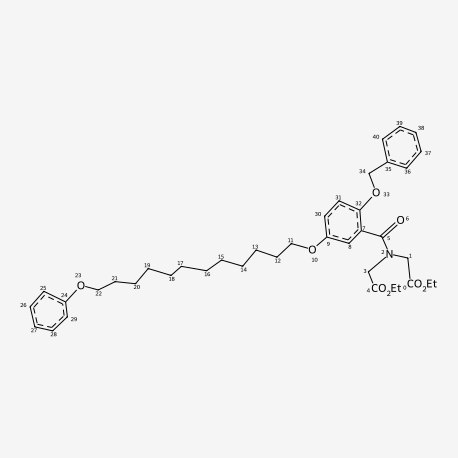 CCOC(=O)CN(CC(=O)OCC)C(=O)c1cc(OCCCCCCCCCCCCOc2ccccc2)ccc1OCc1ccccc1